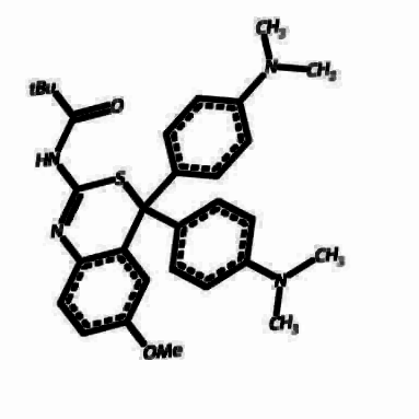 COc1ccc2c(c1)C(c1ccc(N(C)C)cc1)(c1ccc(N(C)C)cc1)SC(NC(=O)C(C)(C)C)=N2